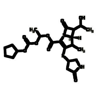 CC(OC(=O)OC1CCCC1)OC(=O)C1=C(SC2CNC(=O)C2)C(C)[C@H]2C(C(C)O)C(=O)N12